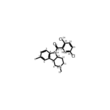 Cc1ccc2c(c1)C1CN(C)CCC1N2C(=O)c1nc(Cl)ccc1Cl